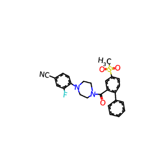 CS(=O)(=O)c1ccc(-c2ccccc2)c(C(=O)N2CCN(c3ccc(C#N)cc3F)CC2)c1